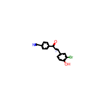 N#Cc1ccc(C(=O)/C=C/c2ccc(O)c(Br)c2)cc1